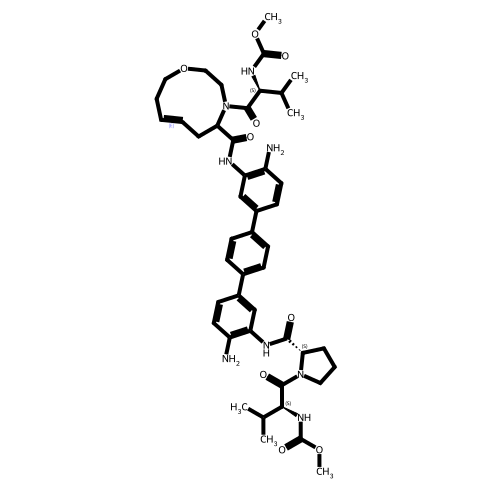 COC(=O)N[C@H](C(=O)N1CCOCC/C=C/CC1C(=O)Nc1cc(-c2ccc(-c3ccc(N)c(NC(=O)[C@@H]4CCCN4C(=O)[C@@H](NC(=O)OC)C(C)C)c3)cc2)ccc1N)C(C)C